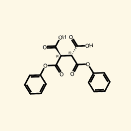 O=C(O)[C@H](C(=O)Oc1ccccc1)[C@H](C(=O)O)C(=O)Oc1ccccc1